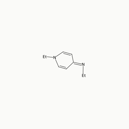 CCN=c1ccn(CC)cc1